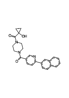 O=C(c1ccc(-c2ccc3ccccc3c2)nc1)N1CCN(C(=O)C2(O)CC2)CC1